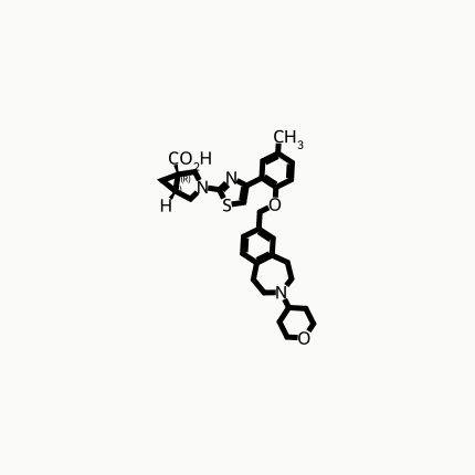 Cc1ccc(OCc2ccc3c(c2)CCN(C2CCOCC2)CC3)c(-c2csc(N3C[C@@H]4C[C@]4(C(=O)O)C3)n2)c1